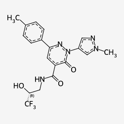 Cc1ccc(-c2cc(C(=O)NC[C@@H](O)C(F)(F)F)c(=O)n(-c3cnn(C)c3)n2)cc1